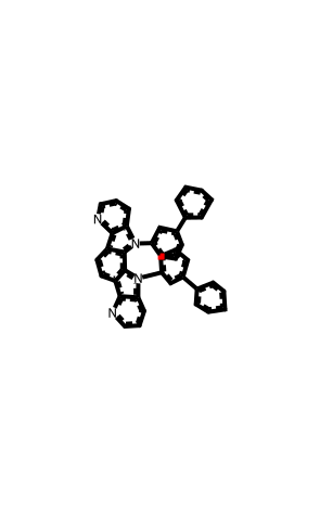 c1ccc(-c2cccc(-n3c4cccnc4c4ccc5c6ncccc6n(-c6cccc(-c7ccccc7)c6)c5c43)c2)cc1